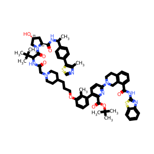 Cc1ncsc1-c1ccc(C(C)NC(=O)[C@@H]2C[C@@H](O)CN2C(=O)C(NC(=O)CN2CCC(CCCOc3cccc(-c4ccc(N5CCc6cccc(C(=O)Nc7nc8ccccc8s7)c6C5)nc4C(=O)OC(C)(C)C)c3C)CC2)C(C)(C)C)cc1